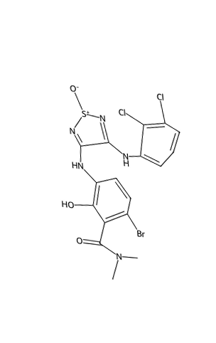 CN(C)C(=O)c1c(Br)ccc(Nc2n[s+]([O-])nc2Nc2cccc(Cl)c2Cl)c1O